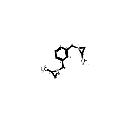 CC1CN1Cc1cccc(CN2CC2C)c1